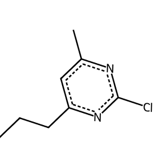 CCCc1cc(C)nc(Cl)n1